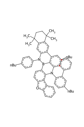 CCCCc1ccc(N2B3c4ccc5oc6ccccc6c5c4N(c4ccc(CCCC)cc4-c4ccccc4)c4cc(CCCC)cc(c43)-c3cc4c(cc32)C(C)(C)CCC4(C)C)cc1